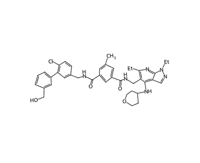 CCc1nc2c(cnn2CC)c(NC2CCOCC2)c1CNC(=O)c1cc(C)cc(C(=O)NCc2ccc(Cl)c(-c3cccc(CO)c3)c2)c1